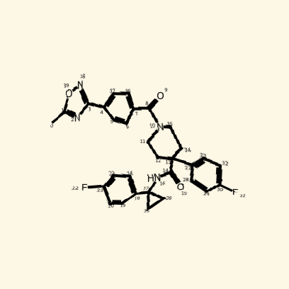 Cc1nc(-c2ccc(C(=O)N3CCC(C(=O)NC4(c5ccc(F)cc5)CC4)(c4ccc(F)cc4)CC3)cc2)no1